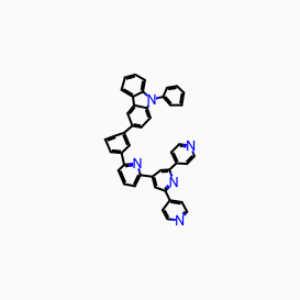 c1ccc(-n2c3ccccc3c3cc(-c4cccc(-c5cccc(-c6cc(-c7ccncc7)nc(-c7ccncc7)c6)n5)c4)ccc32)cc1